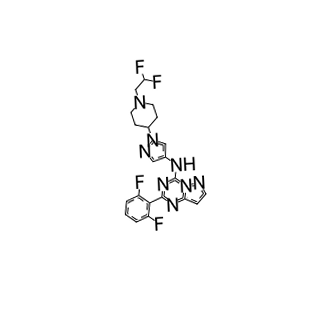 Fc1cccc(F)c1-c1nc(Nc2cnn(C3CCN(CC(F)F)CC3)c2)n2nccc2n1